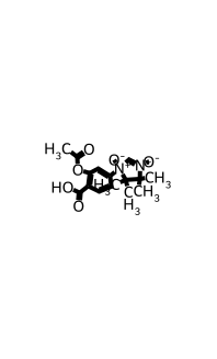 CC(=O)Oc1cc([N+]2([O-])C=[N+]([O-])C(C)(C)C2(C)C)ccc1C(=O)O